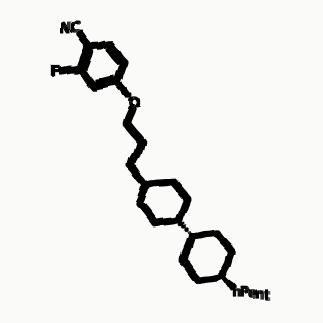 CCCCC[C@H]1CC[C@H](C2CCC(CCCOc3ccc(C#N)c(F)c3)CC2)CC1